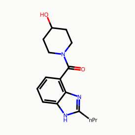 CCCc1nc2c(C(=O)N3CCC(O)CC3)cccc2[nH]1